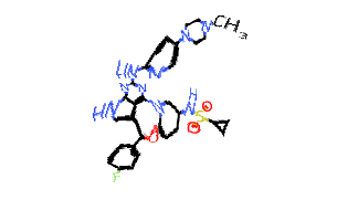 CN1CCN(c2ccc(Nc3nc(N4CCCC(NS(=O)(=O)C5CC5)C4)c4c(C(=O)c5ccc(F)cc5)c[nH]c4n3)nc2)CC1